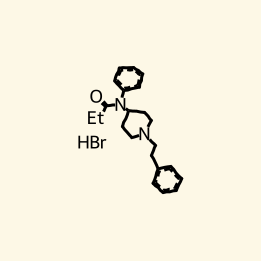 Br.CCC(=O)N(c1ccccc1)C1CCN(CCc2ccccc2)CC1